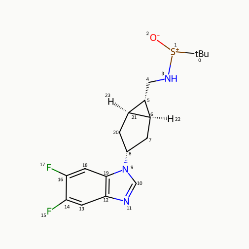 CC(C)(C)[S+]([O-])NC[C@@H]1[C@H]2C[C@H](n3cnc4cc(F)c(F)cc43)C[C@@H]12